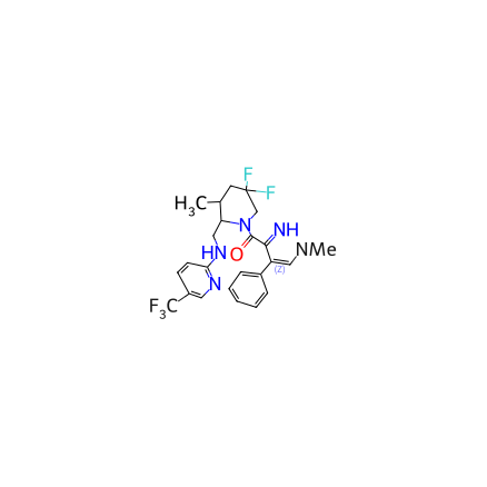 CN/C=C(\C(=N)C(=O)N1CC(F)(F)CC(C)C1CNc1ccc(C(F)(F)F)cn1)c1ccccc1